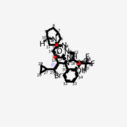 N=C(/C(COC1CC2CC[C@@H](C1)N2c1ccc2nc(C(=O)O)cn2n1)=C(\Br)C1CC1)c1ccccc1OC(F)(F)F